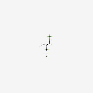 CCC(=C(F)C(F)(F)C(F)(F)F)C(F)(F)C(F)(F)C(F)(F)F